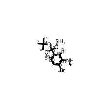 CNc1c(Br)ccc(C(O[SiH3])(O[SiH3])OC(C)(C)C)c1Br